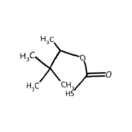 CC(OC(=O)S)C(C)(C)C